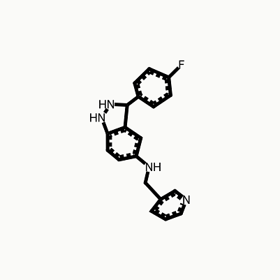 Fc1ccc(C2NNc3ccc(NCc4cccnc4)cc32)cc1